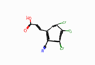 N#Cc1c(/C=C/C(=O)O)cc(Cl)c(Cl)c1Cl